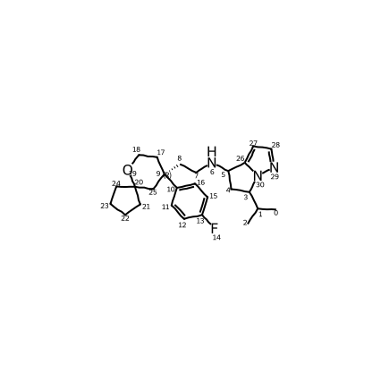 CC(C)C1CC(NCC[C@@]2(c3ccc(F)cc3)CCOC3(CCCC3)C2)c2ccnn21